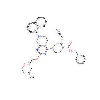 CN1CCO[C@@H](COc2nc3c(c(N4CCN(C(=O)OCc5ccccc5)[C@@H](CC#N)C4)n2)CCN(c2cccc4ccccc24)C3)C1